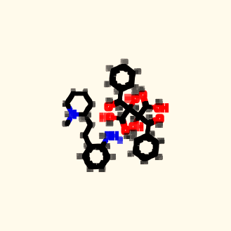 CN1CCCC[C@H]1CCc1ccccc1N.O=C(O)C(O)(C(=O)c1ccccc1)C(O)(C(=O)O)C(=O)c1ccccc1